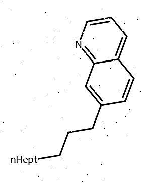 CCCCCCCCCCc1ccc2cccnc2c1